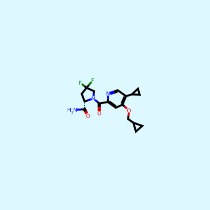 NC(=O)[C@@H]1CC(F)(F)CN1C(=O)c1cc(OCC2CC2)c(C2CC2)cn1